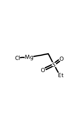 CCS(=O)(=O)[CH2][Mg][Cl]